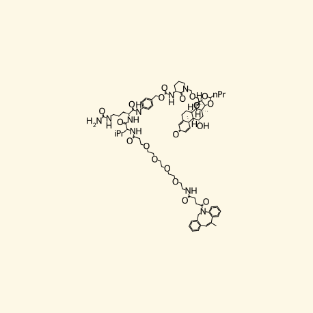 CCCC1O[C@@H]2C[C@H]3[C@@H]4CCC5=CC(=O)C=C[C@]5(C)[C@H]4[C@@H](O)C[C@]3(C)[C@]2(C(=O)COCN2CCCC(NC(=O)OCc3ccc(NC(=O)[C@H](CCCNC(N)=O)NC(=O)[C@@H](NC(=O)CCOCCOCCOCCOCCNC(=O)CCC(=O)N4Cc5ccccc5/C=C(/C)c5ccccc54)C(C)C)cc3)C2=O)O1